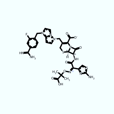 CC(C)(O/N=C(\C(=O)N[C@@H]1C(=O)N2C(C(=O)[O-])=C(C[n+]3ccc4n(Cc5ccc(C(=N)N)cc5F)ccn43)CS[C@H]12)c1csc(N)n1)C(=O)O